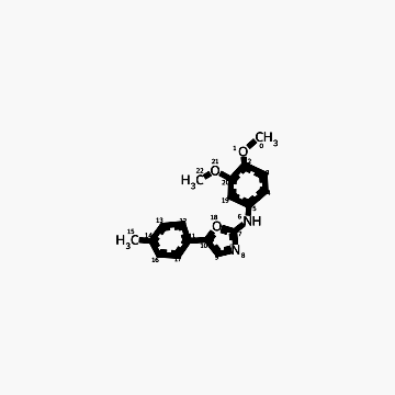 COc1ccc(Nc2ncc(-c3ccc(C)cc3)o2)cc1OC